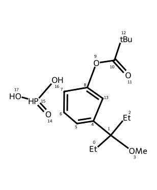 CCC(CC)(OC)c1cccc(OC(=O)C(C)(C)C)c1.O=[PH](O)O